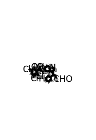 O=CCC(c1ccccc1)n1cnc2ccc(NC(=O)c3c(O)c(Cl)cc(Cl)c3Cl)cc21